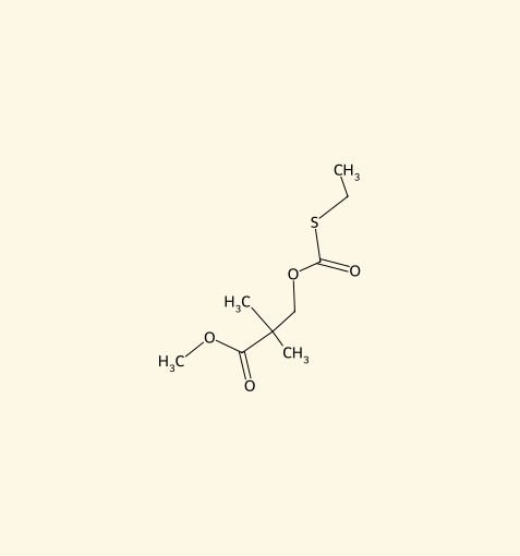 CCSC(=O)OCC(C)(C)C(=O)OC